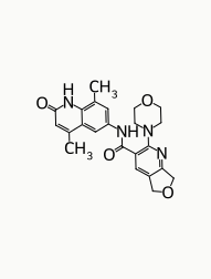 Cc1cc(=O)[nH]c2c(C)cc(NC(=O)c3cc4c(nc3N3CCOCC3)COC4)cc12